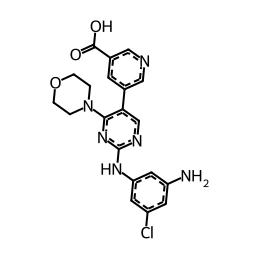 Nc1cc(Cl)cc(Nc2ncc(-c3cncc(C(=O)O)c3)c(N3CCOCC3)n2)c1